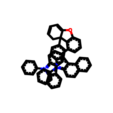 C1=CCC2(c3ccc4c(c3)c3c5ccccc5ccc3n4-c3ccccc3)C(=C1)Oc1cccc(-c3ccc4c(c3)c3ccccc3n4-c3ccccc3)c12